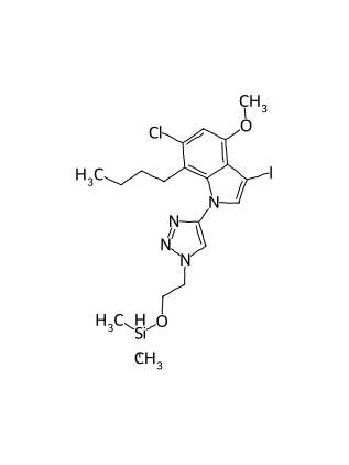 CCCCc1c(Cl)cc(OC)c2c(I)cn(-c3cn(CCO[SiH](C)C)nn3)c12